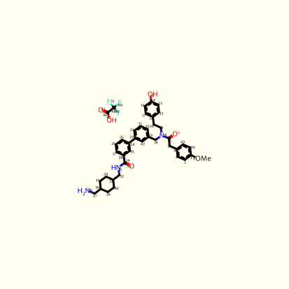 COc1ccc(CC(=O)N(CCc2ccc(O)cc2)Cc2cccc(-c3cccc(C(=O)NCC4CCC(CN)CC4)c3)c2)cc1.O=C(O)C(F)(F)F